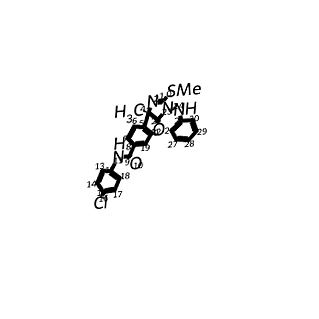 CSC1=N[C@](C)(c2ccc(C(=O)Nc3ccc(Cl)cc3)cc2)C(=O)N1Nc1ccccc1